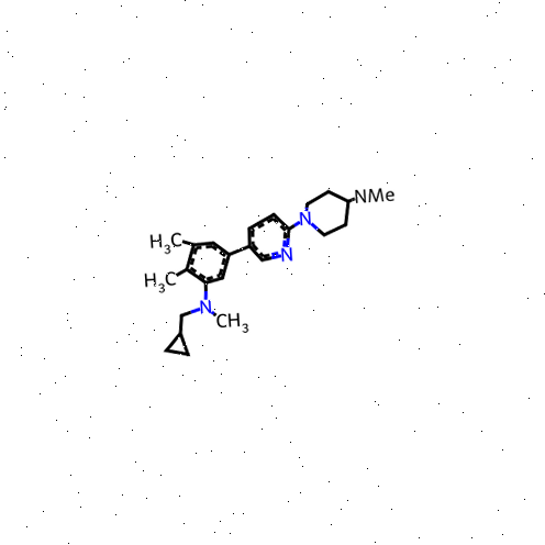 CNC1CCN(c2ccc(-c3cc(C)c(C)c(N(C)CC4CC4)c3)cn2)CC1